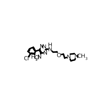 CN1CCN(CCOCCNc2nnc(-c3cccc(Cl)c3Cl)c(N)n2)CC1